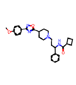 COc1ccc(-c2noc(C3CCN(CCC(NC(=O)C4CCC4)c4ccccc4)CC3)n2)cc1